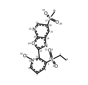 CCS(=O)(=O)c1ccc[n+]([O-])c1-c1nc2cc(S(C)(=O)=O)cnc2o1